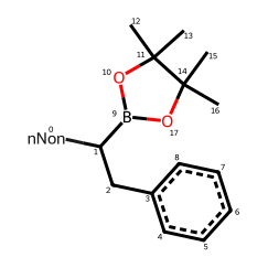 CCCCCCCCCC(Cc1ccccc1)B1OC(C)(C)C(C)(C)O1